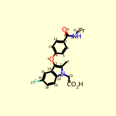 Cc1c(Oc2ccc(C(=O)NC(C)C)cc2)c2cc(F)ccc2n1CC(=O)O